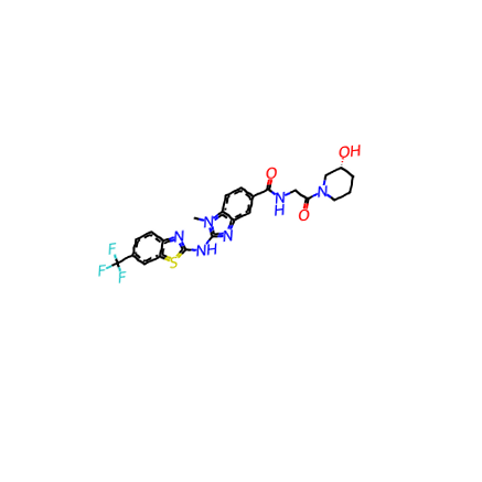 Cn1c(Nc2nc3ccc(C(F)(F)F)cc3s2)nc2cc(C(=O)NCC(=O)N3CCC[C@@H](O)C3)ccc21